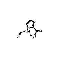 NC(=O)c1nccn1NC=O